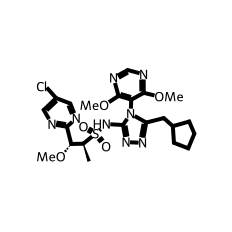 COc1ncnc(OC)c1-n1c(CC2CCCC2)nnc1NS(=O)(=O)[C@@H](C)[C@H](OC)c1ncc(Cl)cn1